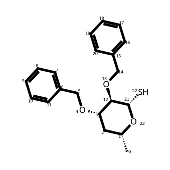 C[C@@H]1C[C@H](OCc2ccccc2)[C@@H](OCc2ccccc2)[C@H](S)O1